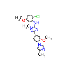 COc1ccc(Cl)c(Nc2nc(-c3ccc(-n4cnc(C)c4)c(OC)c3)nn2C)c1